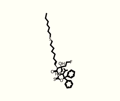 CCCCCCCSCCCCCCC=C[C@H](C(=O)N1C(=S)OC(c2ccccc2)(c2ccccc2)C1C(C)C)[C@@](O)(CCF)C(=O)O